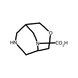 O=C(O)N1CC2CNCC1COC2